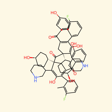 Cc1c(F)cccc1C1=C(C(=O)c2cccc(O)c2)CC(C(=O)C2([C@H]3CC[C@H](O)CC3)CC(C(=O)c3cccc(O)c3)=C(c3cccc(F)c3C)C(O)=C2C2CCCNC2)([C@H]2CC[C@H](O)CC2)C(C2CCCNC2)=C1O